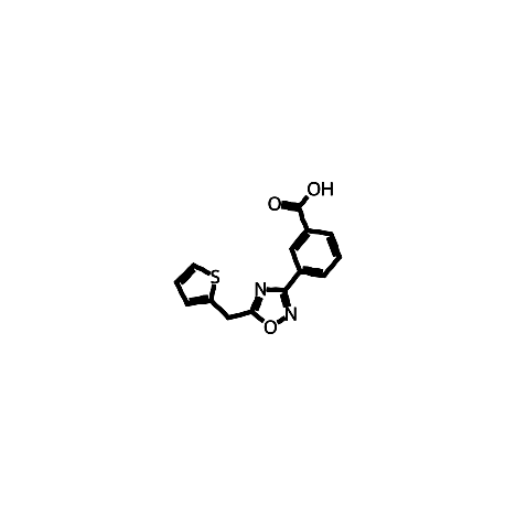 O=C(O)c1cccc(-c2noc(Cc3cccs3)n2)c1